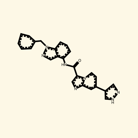 O=C(Nc1cccc2c1cnn2Cc1ccccc1)c1cnc2cc(-c3cn[nH]c3)ccn12